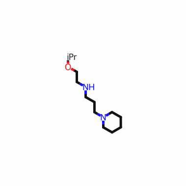 CC(C)OCCNCCCN1CCCCC1